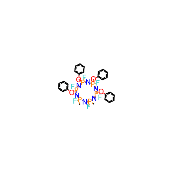 CP1(F)=NP(C)(F)=NP(F)(Oc2ccccc2)=NP(F)(Oc2ccccc2)=NP(F)(Oc2ccccc2)=NP(F)(Oc2ccccc2)=N1